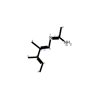 CC=C(C)/C(C)=C/N=C(/C)N